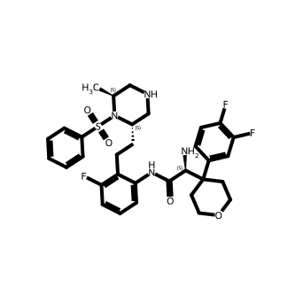 C[C@H]1CNC[C@H](CCc2c(F)cccc2NC(=O)[C@@H](N)C2(c3ccc(F)c(F)c3)CCOCC2)N1S(=O)(=O)c1ccccc1